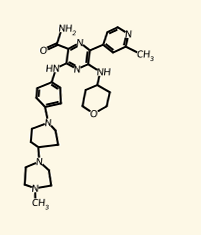 Cc1cc(-c2nc(C(N)=O)c(Nc3ccc(N4CCC(N5CCN(C)CC5)CC4)cc3)nc2NC2CCOCC2)ccn1